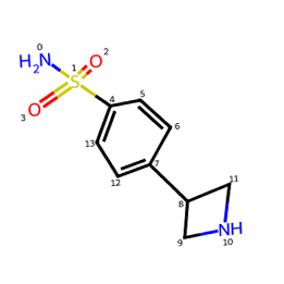 NS(=O)(=O)c1ccc(C2CNC2)cc1